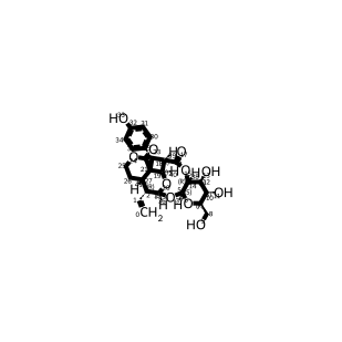 C=C[C@H]1[C@@H]2O[C@@H]3O[C@H](CO)[C@@H](O)[C@H](O)[C@H]3OC(=O)[C@H]3[C@@H](O2)C2(C(=O)OCC[C@@H]12)[C@@H]3c1ccc(O)cc1